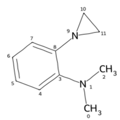 CN(C)c1ccccc1N1CC1